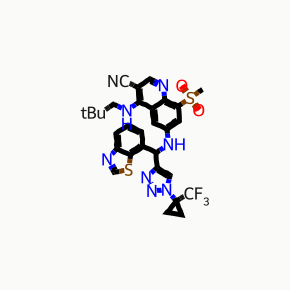 CC(C)(C)CNc1c(C#N)cnc2c(S(C)(=O)=O)cc(NC(c3cn(C4(C(F)(F)F)CC4)nn3)c3cccc4ncsc34)cc12